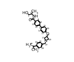 CC(CO)NC(=O)c1ccc(-c2ccc(OC3CN(Cc4ccc(C(C)C)cc4)C3)cc2)cc1